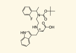 CC(c1ccccc1F)N(CCN[C@@H](CC(=O)O)Cc1c[nH]c2ccccc12)C(=O)OC(C)(C)C